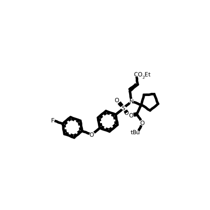 CCOC(=O)C=CN(C1(C(=O)OC(C)(C)C)CCCC1)S(=O)(=O)c1ccc(Oc2ccc(F)cc2)cc1